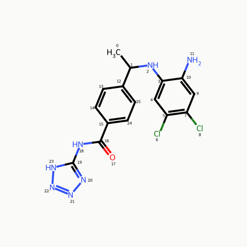 CC(Nc1cc(Cl)c(Cl)cc1N)c1ccc(C(=O)Nc2nnn[nH]2)cc1